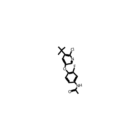 CC(=O)Nc1ccc(Oc2cnc(Cl)c(C(C)(C)C)c2)c(F)c1